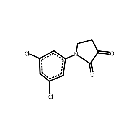 O=C1CCN(c2cc(Cl)cc(Cl)c2)C1=O